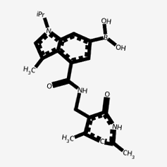 Cc1cc(C)c(CNC(=O)c2cc(B(O)O)cc3c2c(C)cn3C(C)C)c(=O)[nH]1